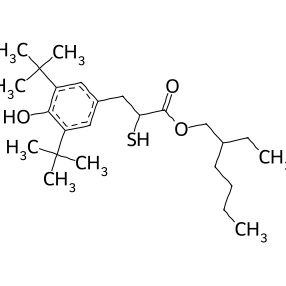 CCCCC(CC)COC(=O)C(S)Cc1cc(C(C)(C)C)c(O)c(C(C)(C)C)c1